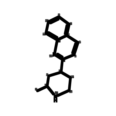 CC1CC(c2ccc3ccccc3n2)CCN1